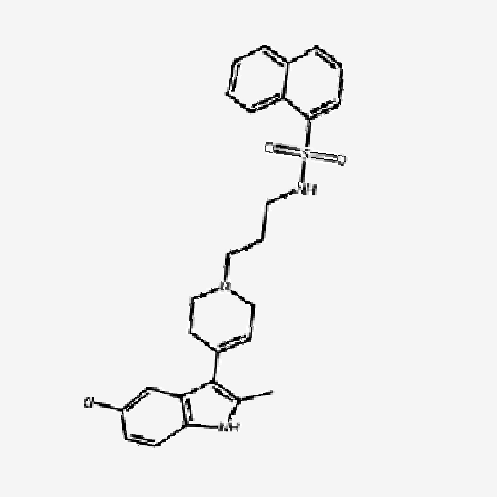 Cc1[nH]c2ccc(Cl)cc2c1C1=CCN(CCCNS(=O)(=O)c2cccc3ccccc23)CC1